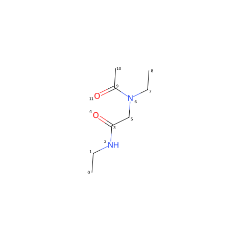 CCNC(=O)CN(CC)C(C)=O